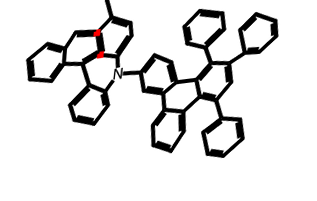 Cc1ccc(N(c2ccc3c(c2)c2ccccc2c2c(-c4ccccc4)cc(-c4ccccc4)c(-c4ccccc4)c32)c2ccccc2-c2cccc3ccccc23)cc1